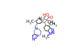 Cc1ccc(C(c2ccc3c(nnn3C)c2C)C(C)(C)C(=O)O)cc1CN1CCCn2cncc2C1